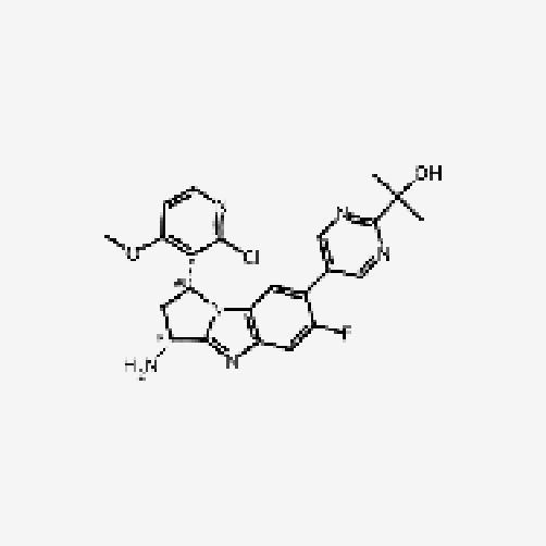 COc1ccnc(Cl)c1[C@H]1C[C@@H](N)c2nc3cc(F)c(-c4cnc(C(C)(C)O)nc4)cc3n21